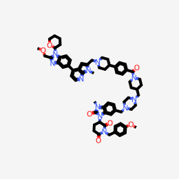 COCc1nc2cc(-c3ccnc4c3cc(CN3CCC(c5ccc(C(=O)N6CCC(CN7CCN(Cc8ccc9c(c8)n(C8CCC(=O)N(Cc%10ccc(OC)cc%10)C8=O)c(=O)n9C)CC7)CC6)cc5)CC3)n4C)ccc2n1C1CCCCO1